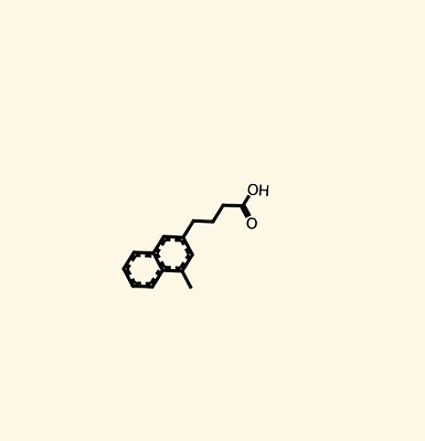 Cc1cc(CCCC(=O)O)cc2ccccc12